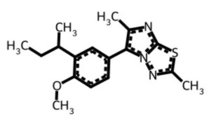 CCC(C)c1cc(-c2c(C)nc3sc(C)nn23)ccc1OC